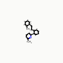 Cc1cccc(-c2ccccc2C=Cc2ccccc2C)n1